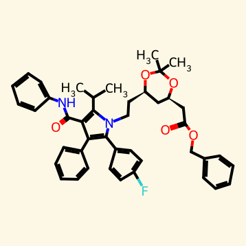 CC(C)c1c(C(=O)Nc2ccccc2)c(-c2ccccc2)c(-c2ccc(F)cc2)n1CC[C@@H]1C[C@H](CC(=O)OCc2ccccc2)OC(C)(C)O1